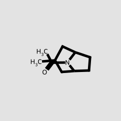 CC(=O)N1C2CCC1CC(C)C2